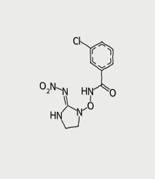 O=C(NON1CCNC1=N[N+](=O)[O-])c1cccc(Cl)c1